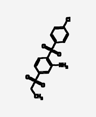 CCS(=O)(=O)c1ccc(S(=O)(=O)c2ccc(Cl)cc2)c(N)c1